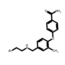 Cc1cc(CNCCC(C)C)ccc1Oc1ccc(C(N)=O)cc1